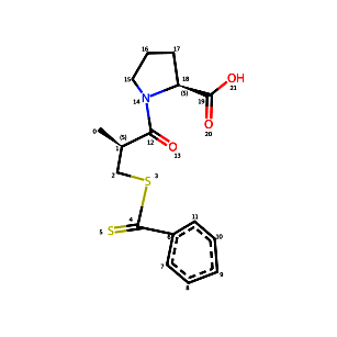 C[C@H](CSC(=S)c1ccccc1)C(=O)N1CCC[C@H]1C(=O)O